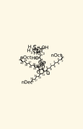 CCCCCCCC/C=C\CCCCCCCC(=O)C(CCCCCCCCCCCCCCCC)=C(OP(=O)(O)OC[C@H](O)CO)C(=O)CCCCCCC/C=C\CCCCCCCC.C[N+](C)(C)CCO